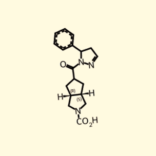 O=C(O)N1C[C@H]2CC(C(=O)N3N=CCC3c3ccccc3)C[C@H]2C1